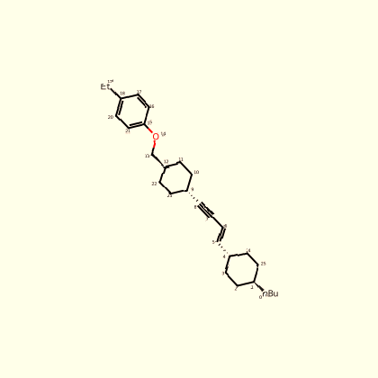 CCCC[C@H]1CC[C@H](C=CC#C[C@H]2CC[C@H](COc3ccc(CC)cc3)CC2)CC1